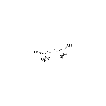 C#CC(CCOCCC(C#C)[SH](=O)=O)[SH](=O)=O